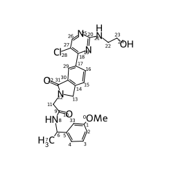 COc1cccc(C(C)NC(=O)CN2Cc3ccc(-c4nc(NCCO)ncc4Cl)cc3C2=O)c1